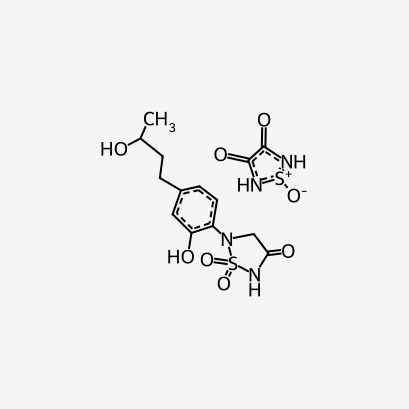 CC(O)CCc1ccc(N2CC(=O)NS2(=O)=O)c(O)c1.O=c1[nH][s+]([O-])[nH]c1=O